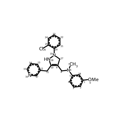 COc1cccc(N(C)CC2=C(Cc3cccnc3)NN(c3ccccc3Cl)C2)c1